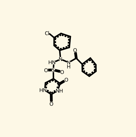 O=C(NN(NS(=O)(=O)c1c[nH]c(=O)[nH]c1=O)c1cccc(Cl)c1)c1ccccc1